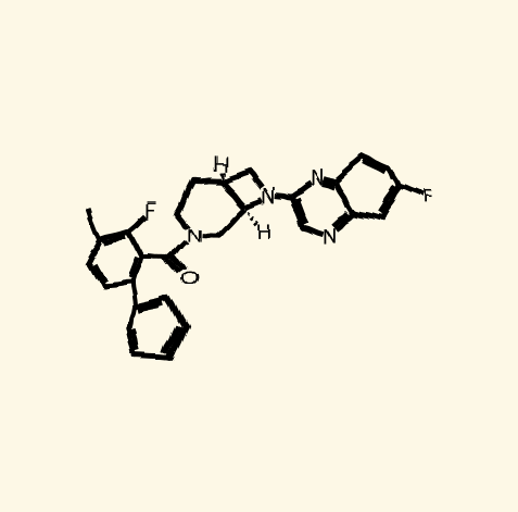 Cc1ccc(-c2ccccc2)c(C(=O)N2CC[C@H]3CN(c4cnc5cc(F)ccc5n4)[C@H]3C2)c1F